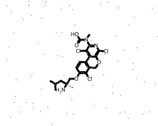 CC(C)C[C@](C)(N)COc1ccc2c(c1Cl)COc1c(Cl)nc(N(C)C(=O)O)c(Cl)c1-2